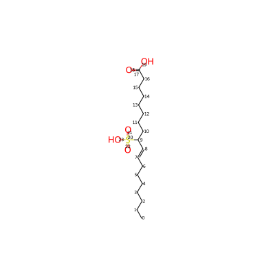 CCCCCCC/C=C/C(CCCCCCCC(=O)O)S(=O)(=O)O